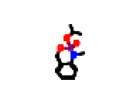 CC(C)OP1(=O)OCc2ccccc2N1C